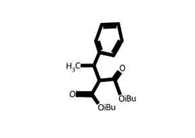 CC(C)COC(=O)C(C(=O)OCC(C)C)C(C)c1ccccc1